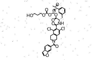 CS(=O)(=O)c1cccc(C[C@H](NC(=O)c2c(Cl)cc3c(c2Cl)CCN(C(=O)c2ccc4ccoc4c2)C3)C(=O)OCOC(=O)OCCCO)c1